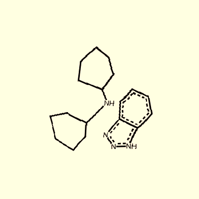 C1CCC(NC2CCCCC2)CC1.c1ccc2[nH]nnc2c1